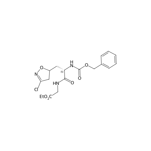 CCOC(=O)CNC(=O)[C@H](CC1CC(Cl)=NO1)NC(=O)OCc1ccccc1